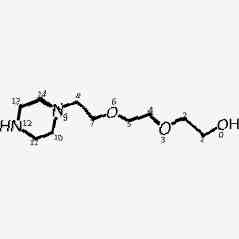 OCCOCCOCCN1CCNCC1